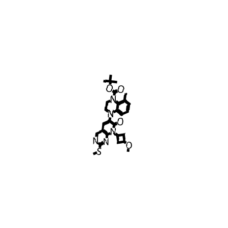 COC1CC(n2c(=O)c(N3CCN(C(=O)OC(C)(C)C)c4c(C)cccc43)cc3cnc(SC)nc32)C1